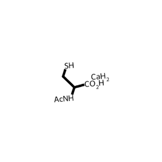 CC(=O)NC(CS)C(=O)O.[CaH2]